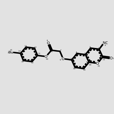 [C-]#[N+]c1cc2cc(OCC(=O)Oc3ccc(C(C)CC)cc3)ccc2oc1=O